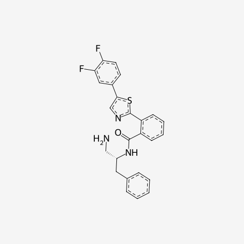 NC[C@@H](Cc1ccccc1)NC(=O)c1ccccc1-c1ncc(-c2ccc(F)c(F)c2)s1